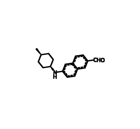 C[C@H]1CC[C@@H](Nc2ccc3cc(C=O)ccc3c2)CC1